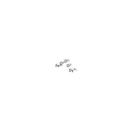 [Dy+3].[Fe+3].[O-2].[O-2].[O-2]